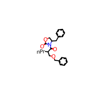 CCCC(COCc1ccccc1)C(=O)N1C(=O)OCC1Cc1ccccc1